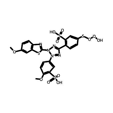 COc1ccc2nc(-n3nc(-c4ccc(SOOO)cc4S(=O)(=O)O)n[n+]3-c3ccc(OC)c(S(=O)(=O)O)c3)sc2c1